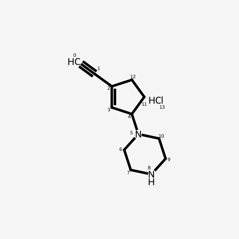 C#CC1=CC(N2CCNCC2)CC1.Cl